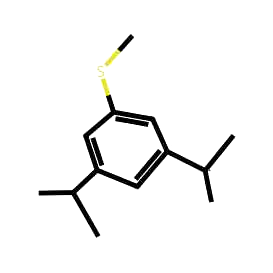 CSc1cc([C](C)C)cc(C(C)C)c1